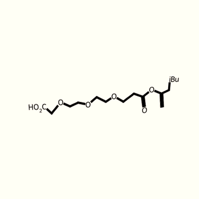 C=C(CC(C)CC)OC(=O)CCOCCOCCOCC(=O)O